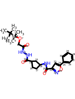 CC(C)(C)[Si](C)(C)OCC(=O)NNC(=O)C1CCC(NC(=O)c2cc(-c3ccccc3)on2)C1